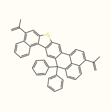 C=C(C)c1ccc2c3c(cccc13)C(c1ccccc1)(c1ccccc1)c1cc3c(cc1-2)sc1cc(C(=C)C)c2ccccc2c13